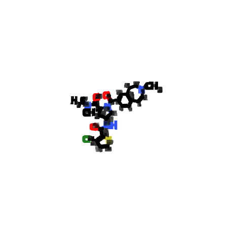 CN1CCc2ccc(C(=O)N3C[C@H](NC(=O)c4sccc4Cl)C[C@H]3C(=O)N(C)C)cc2CC1